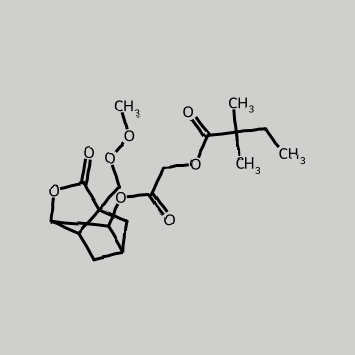 CCC(C)(C)C(=O)OCC(=O)OC1C2CC3C1OC(=O)C3(COOC)C2